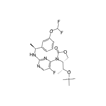 C[C@H](Nc1ncc(F)c(N2C(=O)OC[C@@H]2[C@@H](C)OC(C)(C)C)n1)c1cccc(OC(F)F)c1